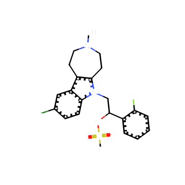 CN1CCc2c(n(CC(OS(C)(=O)=O)c3ccccc3F)c3ccc(Cl)cc23)CC1